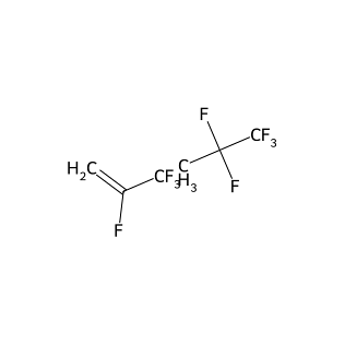 C=C(F)C(F)(F)F.CC(F)(F)C(F)(F)F